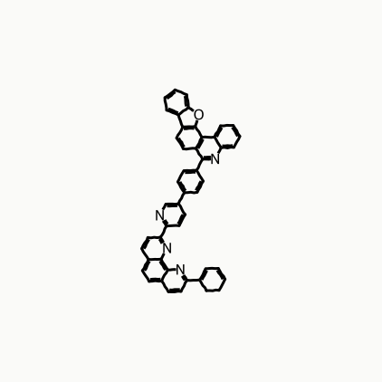 C1=CCCC(c2ccc3ccc4ccc(-c5ccc(-c6ccc(-c7nc8ccccc8c8c7ccc7c9ccccc9oc78)cc6)cn5)nc4c3n2)=C1